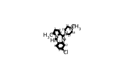 Cc1ccc2n1Nc1ccc(Cl)cc1N=C2N1CCN(C)CC1